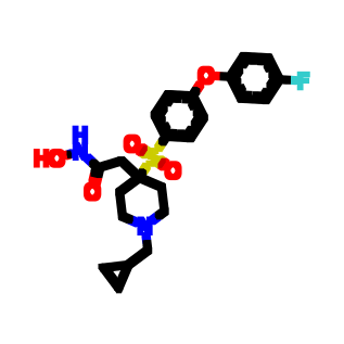 O=C(CC1(S(=O)(=O)c2ccc(Oc3ccc(F)cc3)cc2)CCN(CC2CC2)CC1)NO